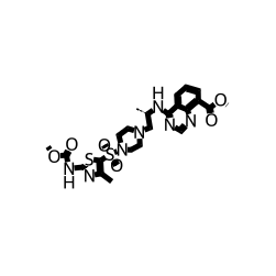 COC(=O)Nc1nc(C)c(S(=O)(=O)N2CCN(C[C@H](C)Nc3ncnc4c(C(=O)OC)cccc34)CC2)s1